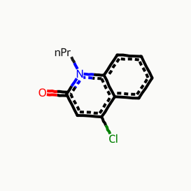 CCCn1c(=O)cc(Cl)c2ccccc21